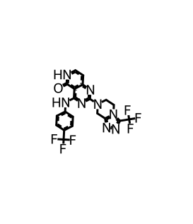 O=c1[nH]ccc2nc(N3CCn4c(nnc4C(F)(F)F)C3)nc(Nc3ccc(C(F)(F)F)cc3)c12